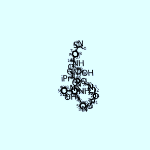 Cc1ncsc1-c1ccc([C@H](C)NC(=O)[C@@H]2C[C@@H](O)CN2C(=O)[C@@H](c2cc(OCCN3CCC(OC4CC(Oc5cc(C#Cc6cc(-c7ccccc7O)nnc6N)ccn5)C4)CC3)no2)C(C)C)cc1